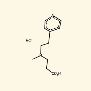 CN(CCC(=O)O)CCc1ccncc1.Cl